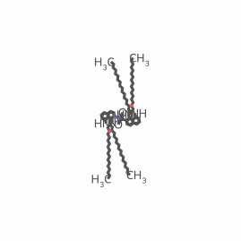 CCCCCCCCCCCCCCCCCC1(CCCCCCCCCCCCCCCCC)N=c2/c(=C3\C(=O)C(c4ccc5cccc6c5c4NC(CCCCCCCCCCCCCCCCC)(CCCCCCCCCCCCCCCCC)N6)=C3O)ccc3cccc(c23)N1